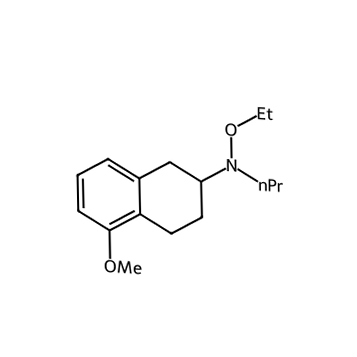 CCCN(OCC)C1CCc2c(cccc2OC)C1